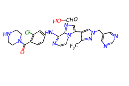 O=C(c1ccc(Nc2nccn3c(-c4cn(Cc5cncnc5)nc4C(F)(F)F)cnc23)cc1Cl)N1CCNCC1.O=CO